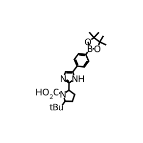 CC(C)(C)C1CCC(c2ncc(-c3ccc(B4OC(C)(C)C(C)(C)O4)cc3)[nH]2)N1C(=O)O